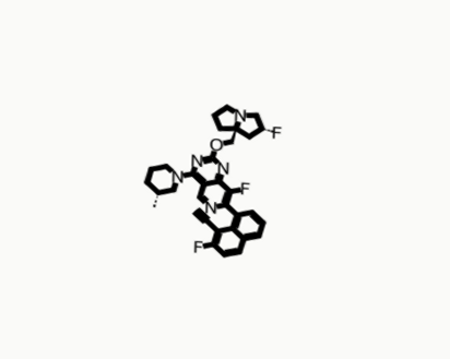 C#Cc1c(F)ccc2cccc(-c3ncc4c(N5CCC[C@@H](C)C5)nc(OC[C@@]56CCCN5C[C@H](F)C6)nc4c3F)c12